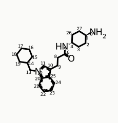 N[C@H]1CC[C@H](NC(=O)CCc2cn(CC3CCCCC3)c3ccccc23)CC1